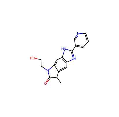 CC1C(=O)N(CCO)c2cc3[nH]c(-c4cccnc4)nc3cc21